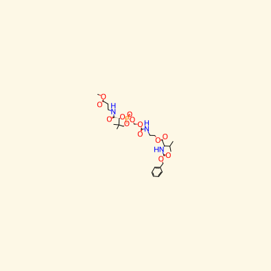 COC(=O)CCNC(=O)[C@@H]1O[P@](=O)(OCOC(=O)NCCOC(=O)[C@@H](NC(=O)OCc2ccccc2)C(C)C)OCC1(C)C